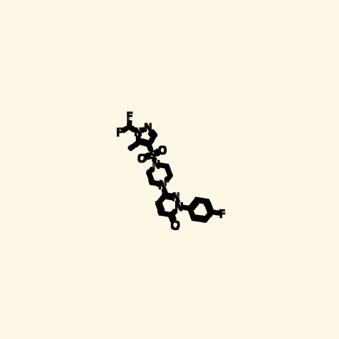 Cc1c(S(=O)(=O)N2CCN(c3ccc(=O)n(-c4ccc(F)cc4)n3)CC2)cnn1C(F)F